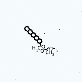 CCC(C)C(=O)OC(C)c1ccc2cc3cc4cc5ccccc5cc4cc3cc2c1